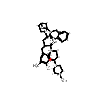 Cc1cc(CC(CC(=O)N2CCC3CC2(N2C=Nc4ccccc4C2)O3)C(=O)N2CCC(N3CCN(C)CC3)CC2)ccc1Br